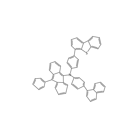 c1ccc(-c2c3ccccc3c(N(c3ccc(-c4cccc5ccccc45)cc3)c3ccc(-c4cccc5c4sc4ccccc45)cc3)c3ccccc23)cc1